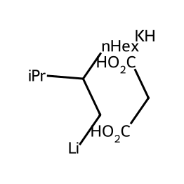 O=C(O)CC(=O)O.[KH].[Li][CH2]C(CCCCCC)C(C)C